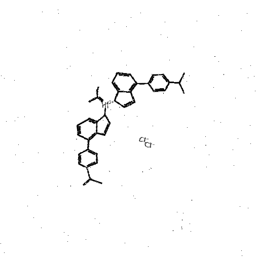 C[C](C)=[Hf+2]([CH]1C=Cc2c(-c3ccc(C(C)C)cc3)cccc21)[CH]1C=Cc2c(-c3ccc(C(C)C)cc3)cccc21.[Cl-].[Cl-]